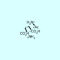 CC(=O)O.CC(=O)O.CC(N)=O.N